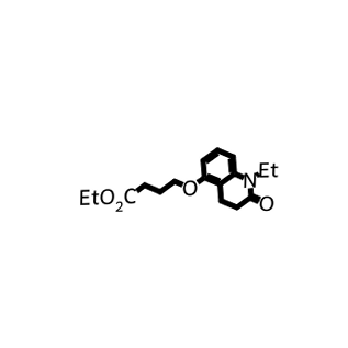 CCOC(=O)CCCOc1cccc2c1CCC(=O)N2CC